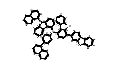 c1ccc2c(-c3ccc(N(c4ccc(-c5ccc6c(c5)sc5ccccc56)c5sc6ccccc6c45)c4cccc5c4c4ccccc4n5-c4cccc5ccccc45)cc3)cccc2c1